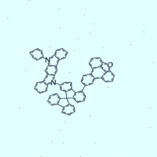 c1ccc(-n2c3ccccc3c3cc4c(cc32)c2ccccc2n4-c2ccc3c(c2)C2(c4ccccc4-c4ccccc42)c2cccc(-c4ccc5c(c4)c4cccc6oc7cccc5c7c64)c2-3)cc1